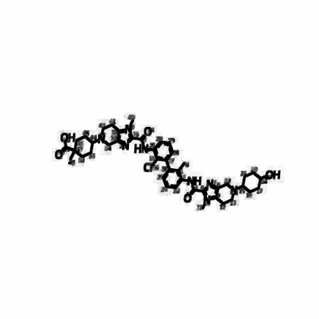 Cc1c(NC(=O)c2nc3c(n2C)CCN(C2CCC(O)CC2)C3)cccc1-c1cccc(NC(=O)c2nc3c(n2C)CCN(C2CCC(C)(C(=O)O)CC2)C3)c1Cl